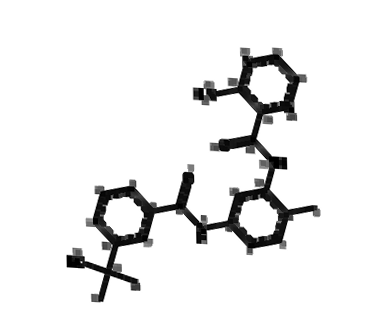 Cc1ccc(NC(=O)c2cccc(C(C)(C)C#N)c2)cc1NC(=O)c1nccnc1N